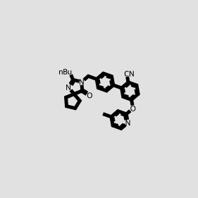 CCCCC1=NC2(CCCC2)C(=O)N1Cc1ccc(-c2cc(Oc3cc(C)ccn3)ccc2C#N)cc1